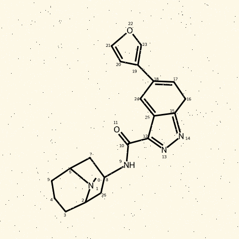 CN1C2CCCC1CC(NC(=O)C1=NN=C3CC=C(c4ccoc4)C=C31)C2